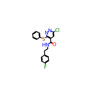 O=C(NCCc1ccc(F)cc1)c1cc(Cl)nnc1Sc1ccccc1